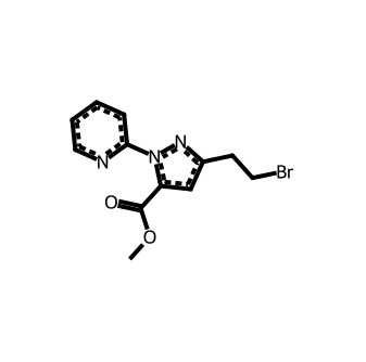 COC(=O)c1cc(CCBr)nn1-c1ccccn1